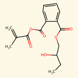 C=C(C)C(=O)OC(=O)c1ccccc1C(=O)OCC(O)CC